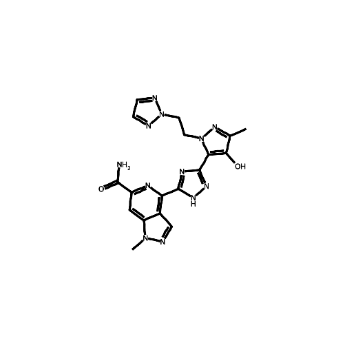 Cc1nn(CCn2nccn2)c(-c2n[nH]c(-c3nc(C(N)=O)cc4c3cnn4C)n2)c1O